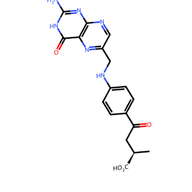 C[C@H](CC(=O)c1ccc(NCc2cnc3nc(N)[nH]c(=O)c3n2)cc1)C(=O)O